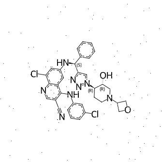 N#Cc1cnc2c(Cl)cc(N[C@@H](c3ccccc3)c3cn([C@@H]4CCN(C5COC5)C[C@H]4O)nn3)cc2c1Nc1cccc(Cl)c1